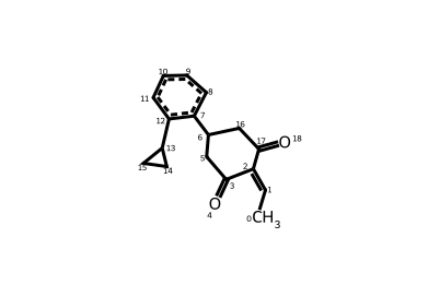 CC=C1C(=O)CC(c2ccccc2C2CC2)CC1=O